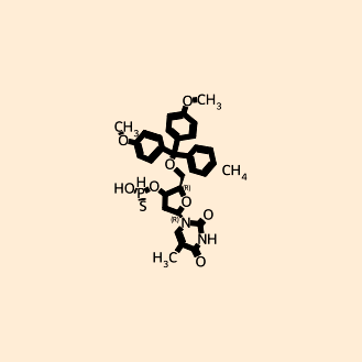 C.COc1ccc(C(OC[C@H]2O[C@@H](n3cc(C)c(=O)[nH]c3=O)CC2O[PH](O)=S)(c2ccccc2)c2ccc(OC)cc2)cc1